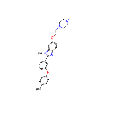 CCCCn1c(-c2cccc(Oc3ccc(C(C)(C)C)cc3)c2)nc2ccc(OCCN3CCN(C)CC3)cc21